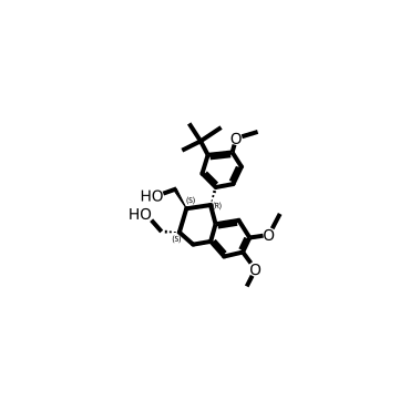 COc1cc2c(cc1OC)[C@@H](c1ccc(OC)c(C(C)(C)C)c1)[C@H](CO)[C@@H](CO)C2